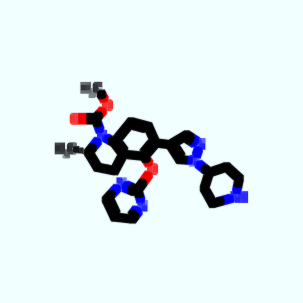 COC(=O)N1c2ccc(-c3cnn(C4CCNCC4)c3)c(Oc3ncccn3)c2CC[C@@H]1C